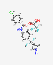 O=C(Nc1ccc(C(F)(F)C2CNC2)cc1)c1ccc(Cl)cc1.O=C(O)C(F)(F)F